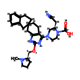 CN1CCC[C@H]1COc1nc2c(c(N3CCN(C(=O)O)[C@@H](CC#N)C3)n1)CC[C@@]1(CCc3ccccc3C1)C2